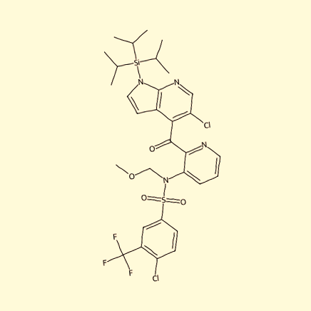 COCN(c1cccnc1C(=O)c1c(Cl)cnc2c1ccn2[Si](C(C)C)(C(C)C)C(C)C)S(=O)(=O)c1ccc(Cl)c(C(F)(F)F)c1